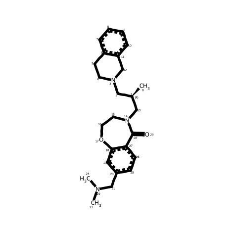 C[C@H](CN1CCc2ccccc2C1)CN1CCOc2cc(CN(C)C)ccc2C1=O